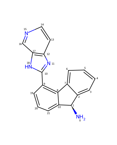 N[C@@H]1c2ccccc2-c2c(-c3nc4ccncc4[nH]3)cccc21